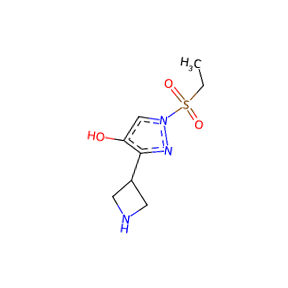 CCS(=O)(=O)n1cc(O)c(C2CNC2)n1